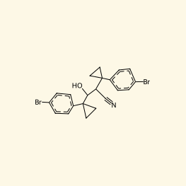 N#CC(C(O)C1(c2ccc(Br)cc2)CC1)C1(c2ccc(Br)cc2)CC1